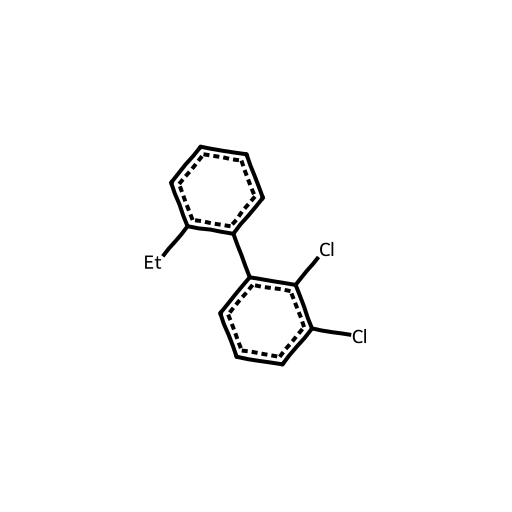 CCc1ccccc1-c1cccc(Cl)c1Cl